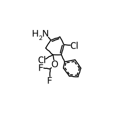 NC1=CC(Cl)=C(c2ccccc2)C(Cl)(OC(F)F)C1